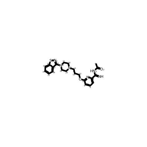 CC(=O)NC(=N)c1cccc(OCCCN2CCN(c3nsc4ccccc34)CC2)n1